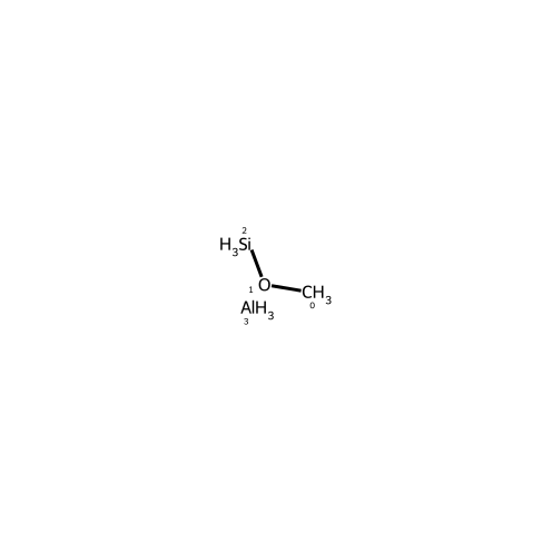 CO[SiH3].[AlH3]